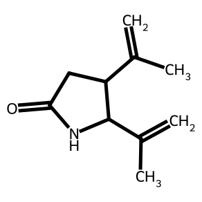 C=C(C)C1CC(=O)NC1C(=C)C